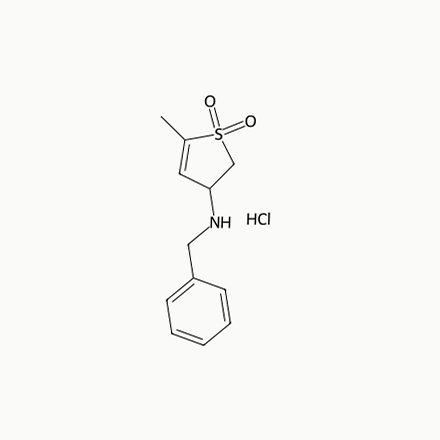 CC1=CC(NCc2ccccc2)CS1(=O)=O.Cl